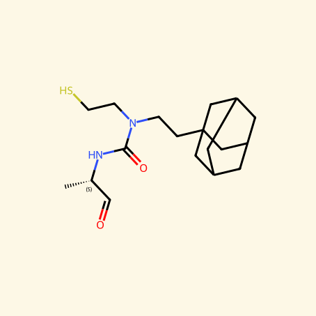 C[C@@H](C=O)NC(=O)N(CCS)CCC12CC3CC(CC(C3)C1)C2